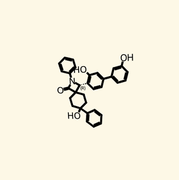 O=C1N(c2ccccc2)[C@H](c2ccc(-c3cccc(O)c3)cc2O)C12CCC(O)(c1ccccc1)CC2